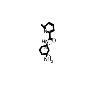 Cc1cccc(C(=O)N[C@]2(C)CCC[C@](C)(N)C2)n1